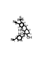 N#Cc1ccc(CC2(O)C(O)CCC3Cc4cc(C(F)(F)F)c(C#N)cc4NC32)cc1